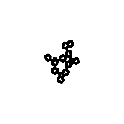 c1ccc(-c2cc(-c3cccc(-n4c5ccccc5c5ccc(-c6ccc7c(c6)c6ccccc6n7-c6ccc(-c7cccc8ccccc78)cc6)cc54)c3)cc(-c3ccccc3)n2)cc1